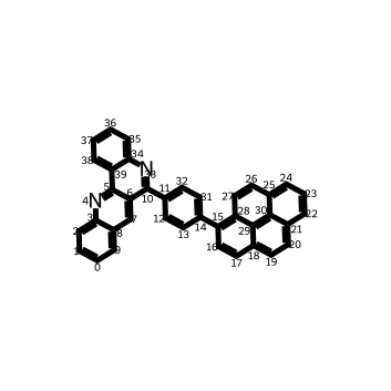 c1ccc2nc3c(cc2c1)c(-c1ccc(-c2ccc4ccc5cccc6ccc2c4c56)cc1)nc1ccccc13